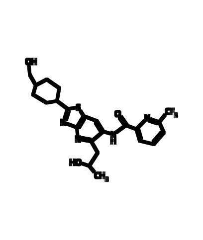 CC(O)Cc1nc2nc(C3CCC(CO)CC3)sc2cc1NC(=O)c1cccc(C(F)(F)F)n1